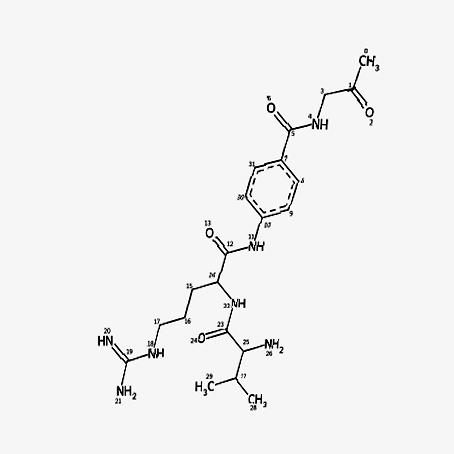 CC(=O)CNC(=O)c1ccc(NC(=O)C(CCCNC(=N)N)NC(=O)C(N)C(C)C)cc1